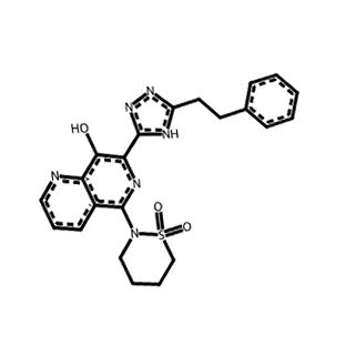 O=S1(=O)CCCCN1c1nc(-c2nnc(CCc3ccccc3)[nH]2)c(O)c2ncccc12